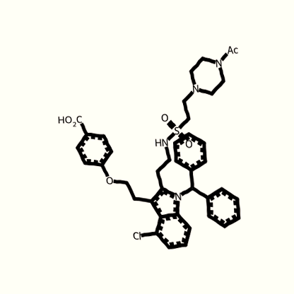 CC(=O)N1CCN(CCS(=O)(=O)NCCc2c(CCOc3ccc(C(=O)O)cc3)c3c(Cl)cccc3n2C(c2ccccc2)c2ccccc2)CC1